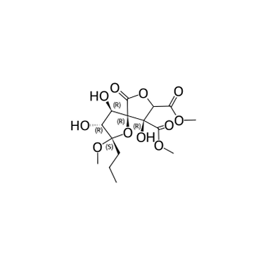 CCC[C@]1(OC)O[C@]2(C(=O)OC(C(=O)OC)[C@]2(O)C(=O)OC)[C@H](O)[C@H]1O